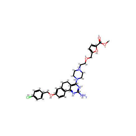 COC(=O)c1ccc(COCCN2CCN(c3nc(N)nc4c3CCc3cc(OCc5ccc(Cl)cc5)ccc3-4)CC2)o1